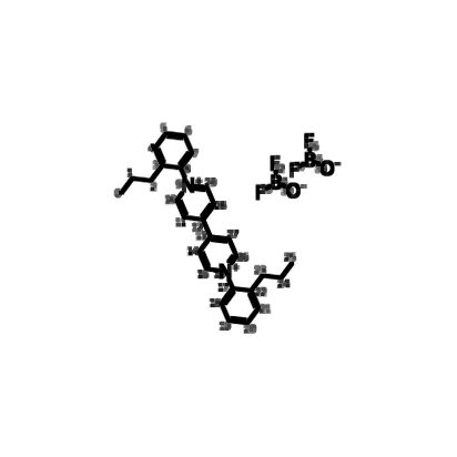 CCCc1ccccc1-[n+]1ccc(-c2cc[n+](-c3ccccc3CCC)cc2)cc1.[O-]B(F)F.[O-]B(F)F